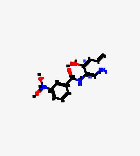 C=C/C=C(O)\C(=C/N)NC(=O)c1cccc([N+](=O)[O-])c1